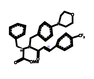 COC(=O)[C@H](Cc1ccccc1)N(Cc1ccc(N2CCOCC2)cc1)C(=O)/C=C/c1ccc(C(F)(F)F)cc1